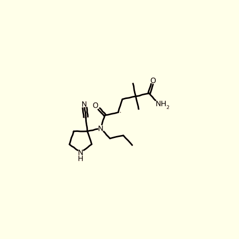 CCCN(C(=O)[CH]CC(C)(C)C(N)=O)C1(C#N)CCNC1